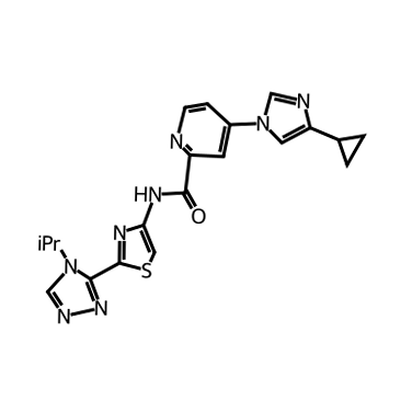 CC(C)n1cnnc1-c1nc(NC(=O)c2cc(-n3cnc(C4CC4)c3)ccn2)cs1